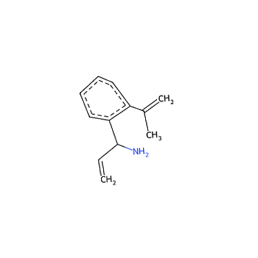 C=CC(N)c1ccccc1C(=C)C